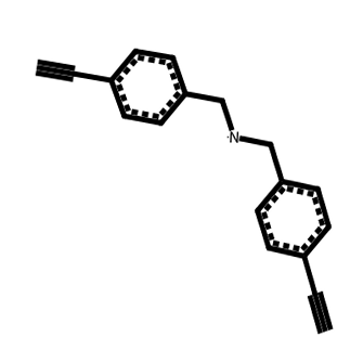 C#Cc1ccc(C[N]Cc2ccc(C#C)cc2)cc1